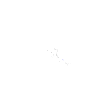 Cn1ccc(Nc2nc(Oc3cccc(NC(=O)/C=C/CN4CCCCC4)c3)cc(-c3cccs3)n2)n1